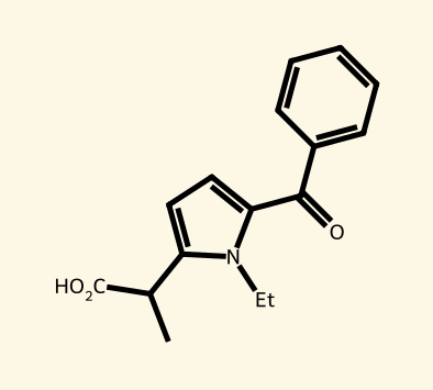 CCn1c(C(=O)c2ccccc2)ccc1C(C)C(=O)O